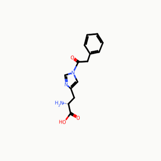 N[C@H](Cc1cn(C(=O)Cc2ccccc2)cn1)C(=O)O